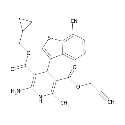 C#CCOC(=O)C1=C(C)NC(N)=C(C(=O)OCC2CC2)C1c1csc2c(C#N)cccc12